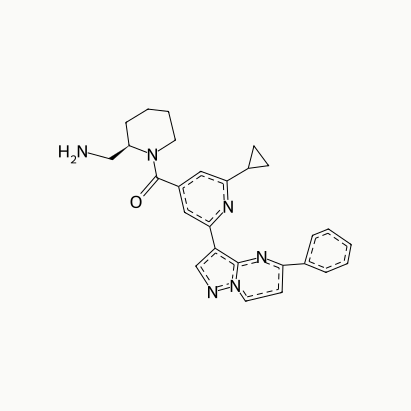 NC[C@H]1CCCCN1C(=O)c1cc(-c2cnn3ccc(-c4ccccc4)nc23)nc(C2CC2)c1